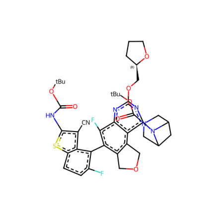 CC(C)(C)OC(=O)Nc1sc2ccc(F)c(-c3c4c(c5c(N6C7CC6CN(C(=O)OC(C)(C)C)C7)nc(OC[C@H]6CCCO6)nc5c3F)COC4)c2c1C#N